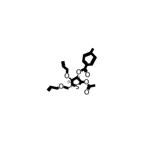 C=CCOC[C@H]1SC(OC(C)=O)[C@@H](OC(=O)c2ccc(C)cc2)[C@@H]1OCC=C